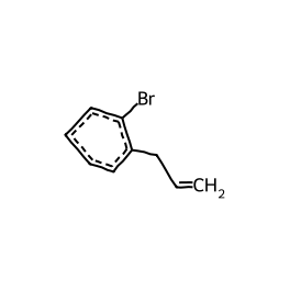 C=CCc1ccccc1Br